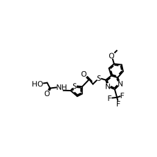 COc1ccc2nc(C(F)(F)F)nc(SCC(=O)c3ccc(CNC(=O)CO)s3)c2c1